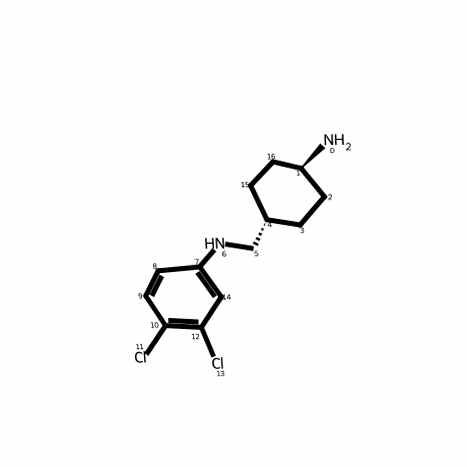 N[C@H]1CC[C@H](CNc2ccc(Cl)c(Cl)c2)CC1